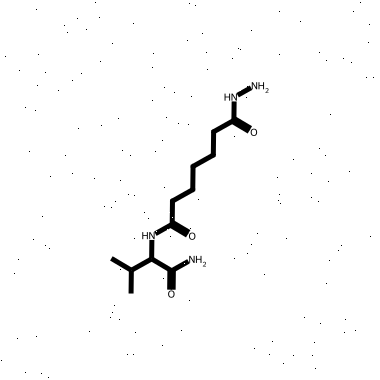 CC(C)C(NC(=O)CCCCCC(=O)NN)C(N)=O